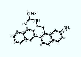 CCCCCCC(=O)NCCc1c(-c2ccc3ccccc3c2)ccc2ccc(N)cc12